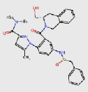 CCCCN(CCCC)C(=O)c1cc(C)n(-c2ccc(N[S+]([O-])Cc3ccccc3)cc2C(=O)N2Cc3ccccc3C[C@H]2CO)n1